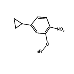 CCCOc1cc(C2CC2)ccc1[N+](=O)[O-]